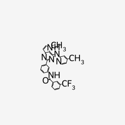 Cc1ccnc(Nc2nc(-c3cccc(NC(=O)c4cccc(C(F)(F)F)c4)c3)nc3ccn(C)c23)c1